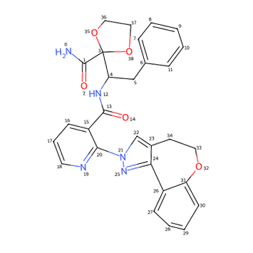 NC(=O)C1(C(Cc2ccccc2)NC(=O)c2cccnc2-n2cc3c(n2)-c2ccccc2OCC3)OCCO1